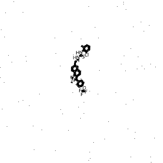 Cc1cccc(Cl)c1NC(=S)NN=Cc1ccc2c(ccc3c(-c4ccc(OC(F)(F)F)cc4)n(C)nc32)c1